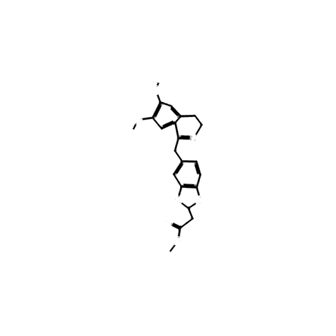 COC(=O)CC1Oc2ccc(CC3=NCCc4cc(OC)c(OC)cc43)cc2O1